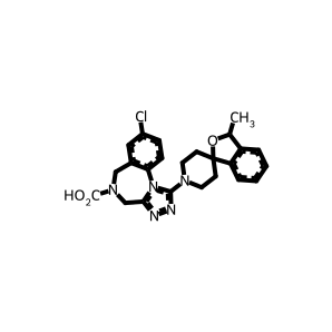 CC1OC2(CCN(c3nnc4n3-c3ccc(Cl)cc3CN(C(=O)O)C4)CC2)c2ccccc21